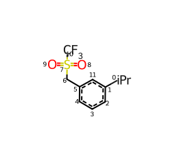 CC(C)c1cccc(CS(=O)(=O)C(F)(F)F)c1